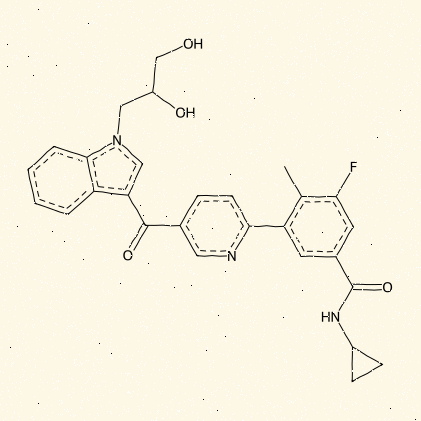 Cc1c(F)cc(C(=O)NC2CC2)cc1-c1ccc(C(=O)c2cn(CC(O)CO)c3ccccc23)cn1